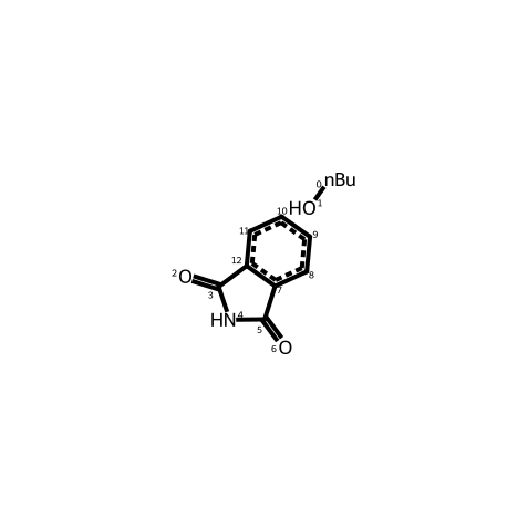 CCCCO.O=C1NC(=O)c2ccccc21